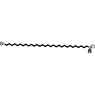 Cl[SiH](Cl)CCCCCCCCCCCCCCCCCCCCCCCCCCCCCCBr